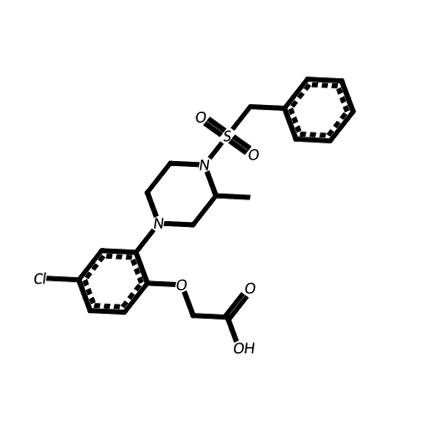 CC1CN(c2cc(Cl)ccc2OCC(=O)O)CCN1S(=O)(=O)Cc1ccccc1